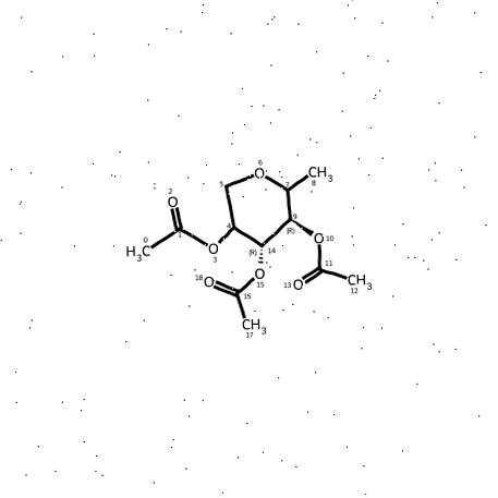 CC(=O)OC1COC(C)[C@@H](OC(C)=O)[C@@H]1OC(C)=O